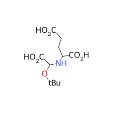 CC(C)(C)OC(NC(CCC(=O)O)C(=O)O)C(=O)O